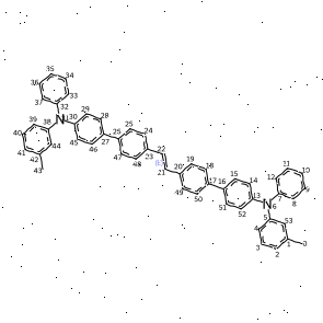 Cc1cccc(N(c2ccccc2)c2ccc(-c3ccc(/C=C/c4ccc(-c5ccc(N(c6ccccc6)c6cccc(C)c6)cc5)cc4)cc3)cc2)c1